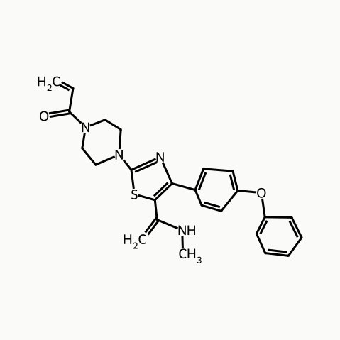 C=CC(=O)N1CCN(c2nc(-c3ccc(Oc4ccccc4)cc3)c(C(=C)NC)s2)CC1